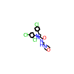 O=C(NCCN1CCOCC1)C1=NN(c2ccc(Cl)cc2Cl)C(c2ccc(Cl)cc2)C1